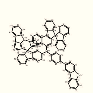 c1ccc2c(c1)-c1ccccc1C21c2ccccc2-c2c1cc(N(c1ccc(-c3ccc4sc5ccccc5c4c3)cc1)c1ccc3c(c1)C1(c4ccccc4-3)c3ccccc3-n3c4ccccc4c4cccc1c43)c1ccccc21